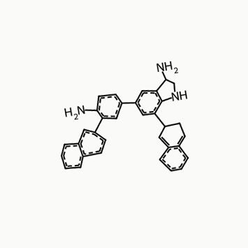 Nc1ccc(-c2cc3c(c(C4C=c5ccccc5=CC4)c2)NCC3N)cc1-c1ccc2ccccc2c1